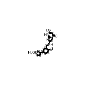 CCc1cc(=O)n2nc(NCc3cc(-c4ccn(C)n4)ccc3Cl)nc2[nH]1